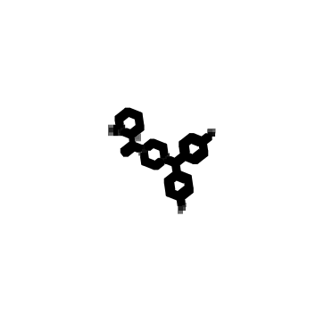 C=C([C@@H]1CCCCN1)N1CCN(C(c2ccc(F)cc2)c2ccc(F)cc2)CC1